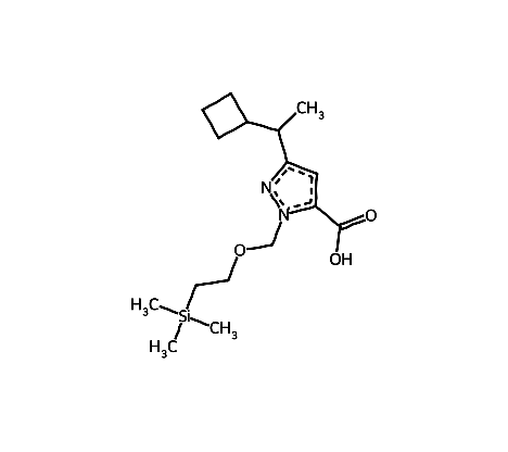 CC(c1cc(C(=O)O)n(COCC[Si](C)(C)C)n1)C1CCC1